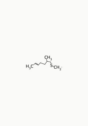 [CH2]SCC(C)CCC=CC